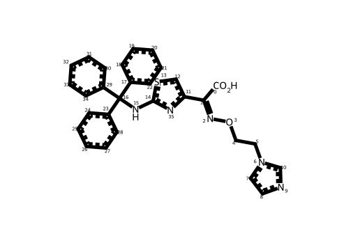 O=C(O)C(=NOCCn1ccnc1)c1csc(NC(c2ccccc2)(c2ccccc2)c2ccccc2)n1